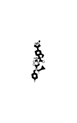 C[C@@H](C1CC1)N(Cc1ccc(F)cc1)C(=O)CN1C(=O)N[C@]2(CCc3cc(-c4cnn(C)c4)ccc32)C1=O